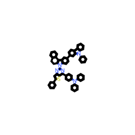 c1ccc(-c2cc3nc(-n4c5c(c6cc(-c7ccc8c9ccccc9n(-c9ccccc9)c8c7)ccc64)-c4ccccc4CC5)nc(-c4ccc(N(c5ccccc5)c5ccccc5)cc4)c3s2)cc1